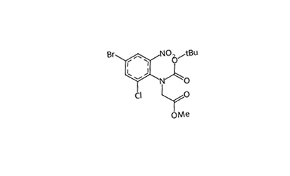 COC(=O)CN(C(=O)OC(C)(C)C)c1c(Cl)cc(Br)cc1[N+](=O)[O-]